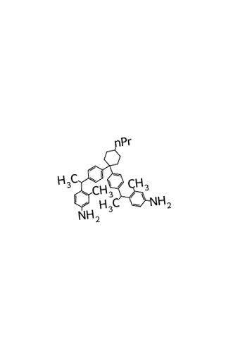 CCCC1CCC(c2ccc(C(C)c3ccc(N)cc3C)cc2)(c2ccc(C(C)c3ccc(N)cc3C)cc2)CC1